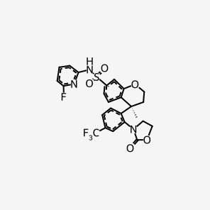 C[C@@]1(c2ccc(C(F)(F)F)cc2N2CCOC2=O)CCOc2cc(S(=O)(=O)Nc3cccc(F)n3)ccc21